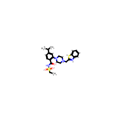 CCS(=O)(=O)NC(=O)c1ccc(C(C)C)cc1N1CCN(Cc2nc3ccccc3s2)CC1